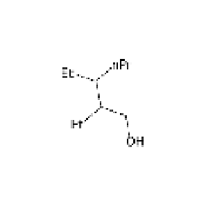 CCCC(CC)C(CC)CO